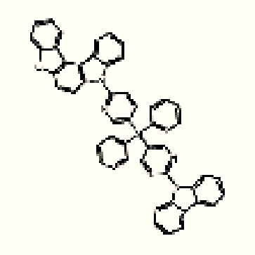 c1ccc([Si](c2ccccc2)(c2ccc(-n3c4ccccc4c4ccccc43)nc2)c2ccc(-n3c4ccccc4c4c5c(ccc43)oc3ccccc35)nc2)cc1